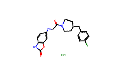 Cl.O=C(CNc1ccc2[nH]c(=O)oc2c1)N1CCC(Cc2ccc(F)cc2)CC1